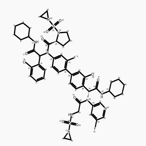 O=C(NC1CCCCC1)C(c1ccccc1Cl)N(C(=O)[C@@H]1CCCN1S(=O)(=O)N1CC1)c1ccc(-c2ccc([C@H](C(=O)NC3CCCCC3)N(C(=O)CNS(=O)(=O)N3CC3)c3cncc(F)c3)c(Cl)c2)c(F)c1